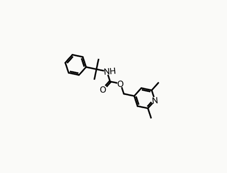 Cc1cc(COC(=O)NC(C)(C)c2ccccc2)cc(C)n1